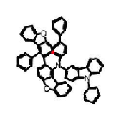 c1ccc(-c2ccc(N(c3ccc4c(c3)c3ccccc3n4-c3ccccc3)c3c(-c4ccc5oc6ccccc6c5c4-c4ccccc4)ccc4oc5ccccc5c34)cc2)cc1